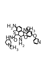 Cc1cc(Oc2cccnc2)ccc1C1(N)C(=O)C(N)C2c3c1ccc(N)c3SC2C(=O)NC1CCCN(C)C1